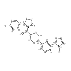 Cc1ccc([C@@H]2CCON2C(=O)C2CCN(c3ncnc(-c4ccnn4C)n3)CC2)cn1